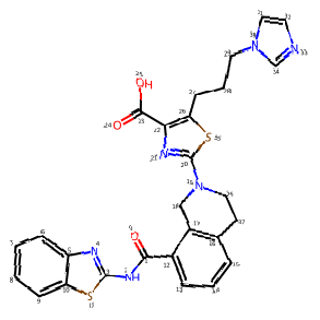 O=C(Nc1nc2ccccc2s1)c1cccc2c1CN(c1nc(C(=O)O)c(CCCn3ccnc3)s1)CC2